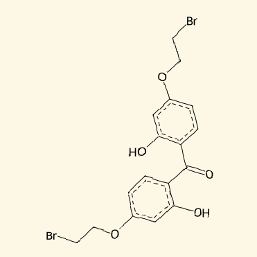 O=C(c1ccc(OCCBr)cc1O)c1ccc(OCCBr)cc1O